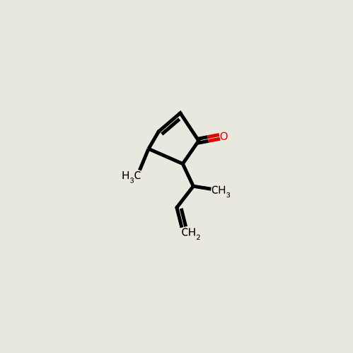 C=CC(C)C1C(=O)C=CC1C